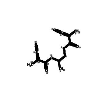 CC(=C=O)C(=O)OCC(C)OC(=O)C(C)=C=O